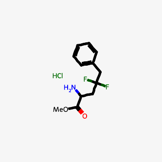 COC(=O)C(N)CC(F)(F)Cc1ccccc1.Cl